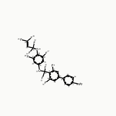 CCCc1ccc(-c2cc(F)c(C(F)(F)Oc3cc(F)c(OC(F)(F)C=C(F)F)c(F)c3)c(F)c2)cc1